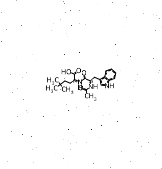 CC(=O)N[C@H](Cc1c[nH]c2ccccc12)C(=O)N[C@@H](CCC(C)(C)C)C(=O)O